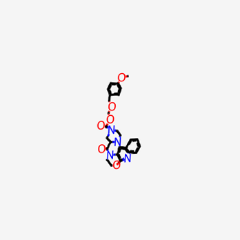 COc1ccc(COCOC(=O)N2CCN3c4c5c(nc6ccccc46)OCCN5C(=O)C3C2)cc1